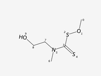 COSC(=S)N(C)CCO